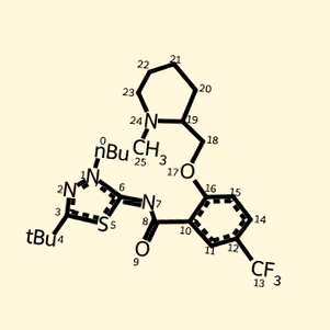 CCCCn1nc(C(C)(C)C)s/c1=N\C(=O)c1cc(C(F)(F)F)ccc1OCC1CCCCN1C